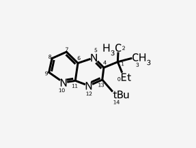 CCC(C)(C)c1nc2cccnc2nc1C(C)(C)C